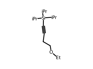 CCOCCC#C[Si](C(C)C)(C(C)C)C(C)C